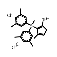 CC1=CC[C]([Ti+3])=C1[Si](C)(c1cc(C)cc(C)c1)c1cc(C)cc(C)c1.[Cl-].[Cl-].[Cl-]